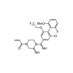 C=CC(=O)N1CCN(C(=N)c2cc(Cl)c(-c3c(F)cccc3OC)c(OCC(F)(F)F)c2)C(=N)C1